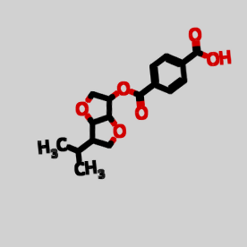 CC(C)C1COC2C(OC(=O)c3ccc(C(=O)O)cc3)COC12